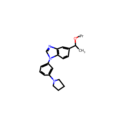 CC(C)OC(C)c1ccc2c(c1)ncn2-c1cccc(N2CCCC2)c1